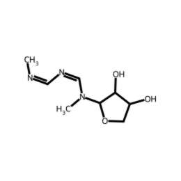 C/N=C\N=C/N(C)C1OCC(O)C1O